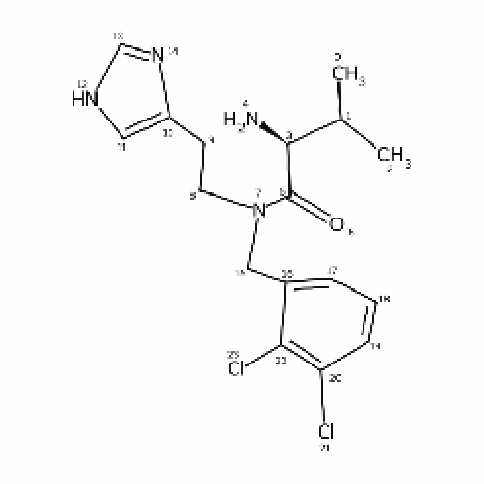 CC(C)[C@H](N)C(=O)N(CCc1c[nH]cn1)Cc1cccc(Cl)c1Cl